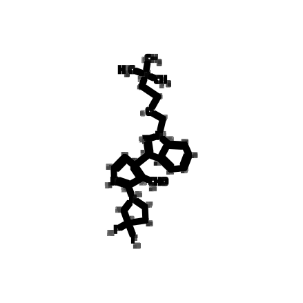 C[Si](C)(C)CCOCn1nc(-c2ccnc(N3CCC(F)(F)C3)c2C=O)c2ccccc21